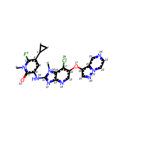 Cn1c(F)c(C2CC2)cc(Nc2nc3ncc(Oc4cnn5ccncc45)c(Cl)c3n2C)c1=O